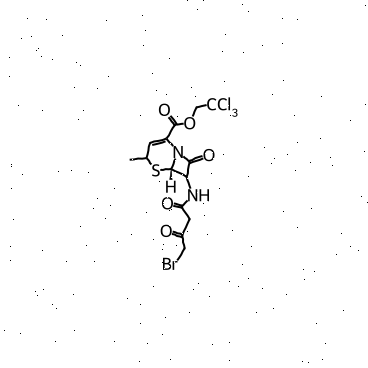 CC1C=C(C(=O)OCC(Cl)(Cl)Cl)N2C(=O)C(NC(=O)CC(=O)CBr)[C@@H]2S1